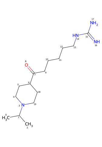 CC(C)N1CCC(C(=O)CCCCCNC(=N)N)CC1